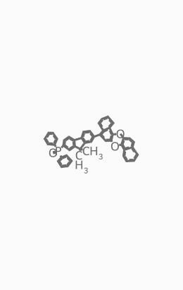 CC1(C)c2cc(-c3cc4c(c5ccccc35)Oc3ccc5ccccc5c3O4)ccc2-c2ccc(P(=O)(c3ccccc3)c3ccccc3)cc21